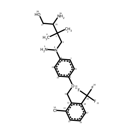 CC(C)(CN(N)c1ccc(OCc2c(Cl)cccc2C(F)(F)F)cc1)C(N)CO